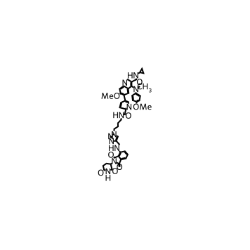 COc1ccc(N(C)c2c(C(=O)NC3CC3)cnc3cc(OC)c(-c4ccc(C(=O)NCCCCn5cc(CNc6cccc7c6C(=O)N(C6CCC(=O)NC6=O)C7=O)nn5)nc4)cc23)cc1